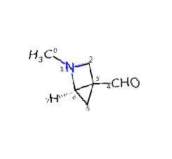 CN1CC2(C=O)C[C@@H]12